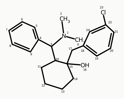 CN(C)C(c1ccccc1)C1CCCCC1(O)Cc1cccc(Cl)c1